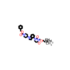 C[Si](C)(C)CCOCN1C(=O)CCN(c2cccc3c2ccn3C2CCN(C(=O)OCc3ccccc3)CC2)C1=O